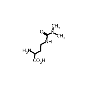 CN(C)C(=O)NCCC(N)C(=O)O